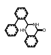 O=C1NC(c2ccccc2-c2ccccc2)Nc2ccccc21